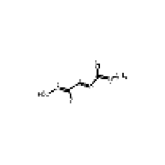 CN=C(Cl)C=CC(Cl)=NC